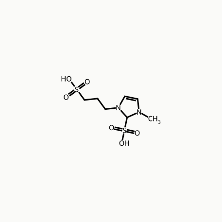 CN1C=CN(CCCS(=O)(=O)O)C1S(=O)(=O)O